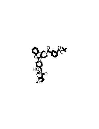 Cn1ccc2c(=O)n(CC3(O)CCN(C(=O)[C@@H]4CCN(C(=O)c5cccc(C(=O)OC(C)(C)C)c5)C[C@H]4c4ccccc4)CC3)cnc21